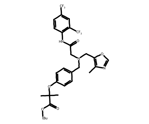 Cc1ncoc1CN(CC(=O)Nc1ccc(C(F)(F)F)cc1C(F)(F)F)Cc1ccc(OC(C)(C)C(=O)OC(C)(C)C)cc1